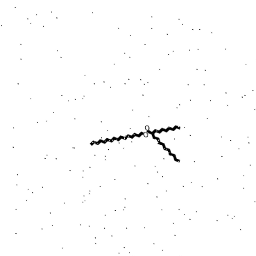 CCCCCCCCCCCCCCCCOC(=O)C(CCCCCCCC)CCCCCCCCCC